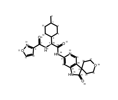 CC1CCC([C@H](NC(=O)c2ccon2)C(=O)Nc2cc3c(cn2)C2(CCOCC2)C(=O)N3)CC1